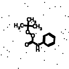 CC(C)(C)OOC(=O)Nc1ccccc1